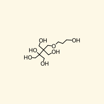 OCCCOCC(CO)(CO)C(O)(CO)CO